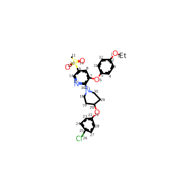 CCOc1ccc(Oc2cc(S(C)(=O)=O)cnc2N2CCC(Oc3ccc(Cl)cc3)CC2)cc1